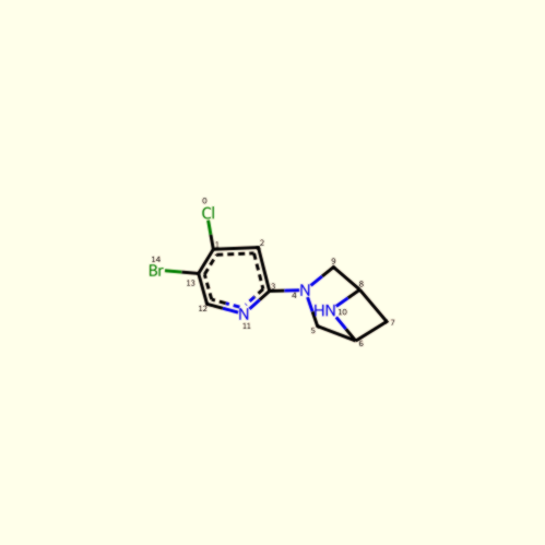 Clc1cc(N2CC3CC(C2)N3)ncc1Br